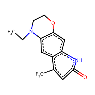 O=c1cc(C(F)(F)F)c2cc3c(cc2[nH]1)OCCN3CC(F)(F)F